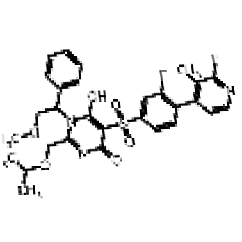 COCC(c1ccccc1)n1c(COC(C)C)nc(=O)c(S(=O)(=O)c2ccc(-c3ccnc(F)c3C)c(F)c2)c1O